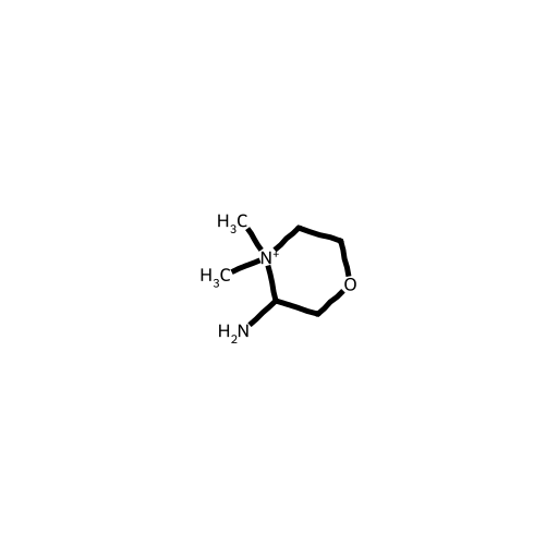 C[N+]1(C)CCOCC1N